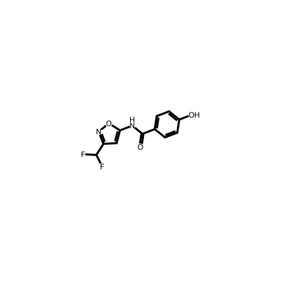 O=C(Nc1cc(C(F)F)no1)c1ccc(O)cc1